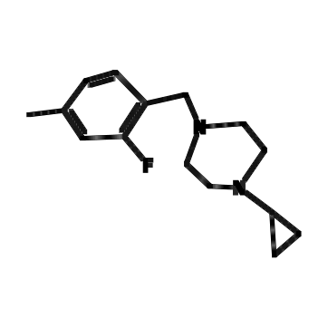 Cc1ccc(CN2CCN(C3CC3)CC2)c(F)c1